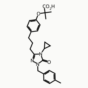 Cc1ccc(Cn2nc(CCCc3ccc(OC(C)(C)C(=O)O)cc3)n(C3CC3)c2=O)cc1